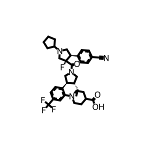 CC[C@H]1CN(C(=O)[C@]2(F)CN(C3CCCC3)C[C@H]2c2ccc(C#N)cc2)C[C@@H]1c1ccc(C(F)(F)F)cc1N1CCC(C(=O)O)CC1